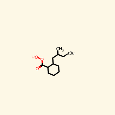 CC(CC1CCCCC1C(=O)OO)CC(C)(C)C